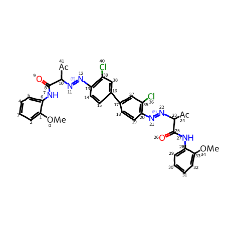 COc1ccccc1NC(=O)C(/N=N/c1ccc(-c2ccc(/N=N/C(C(C)=O)C(=O)Nc3ccccc3OC)c(Cl)c2)cc1Cl)C(C)=O